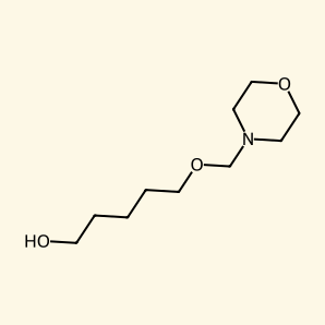 OCCCCCOCN1CCOCC1